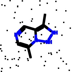 CC1=CN=CC2=C(C)NNN12